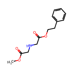 COC(=O)CNCC(=O)OCCc1ccccc1